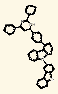 C1=C(c2ccccc2)N=C(c2ccccc2)NC1c1ccc(-c2cccc3c2c2ccccc2n3-c2ccc3oc4ccccc4c3c2)cc1